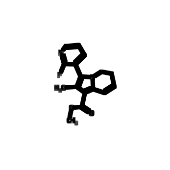 COC(=O)c1c(C)c(-c2cccnc2F)n2c1C=CCC2